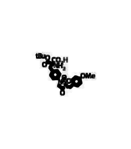 COc1ccc(CN2C(=O)CN(c3ccc(C[C@](N)(C(=O)O)C(=O)OC(C)(C)C)cc3)S2(=O)=O)cc1